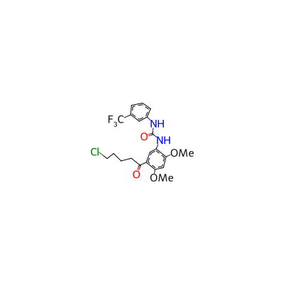 COc1cc(OC)c(C(=O)CCCCCl)cc1NC(=O)Nc1cccc(C(F)(F)F)c1